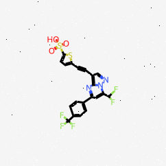 O=S(=O)(O)c1ccc(C#Cc2cnn3c(C(F)F)cc(-c4ccc(C(F)(F)F)cc4)nc23)s1